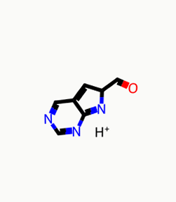 O=CC1C=c2cncnc2=N1.[H+]